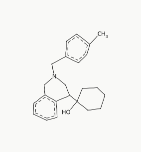 Cc1ccc(CN2Cc3ccccc3C(C3(O)CCCCC3)C2)cc1